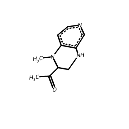 CC(=O)C1CNc2cnccc2N1C